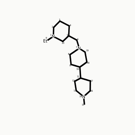 CCN1CCCC(CN2CCC(C3CCN(C)CC3)CC2)C1